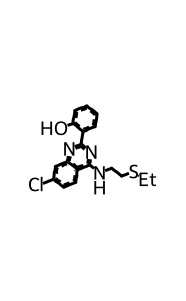 CCSCCNc1nc(-c2ccccc2O)nc2cc(Cl)ccc12